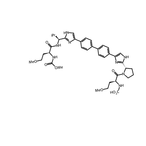 COCC[C@H](NC(=O)OC)C(=O)N[C@H](c1nc(-c2ccc(-c3ccc(-c4c[nH]c([C@@H]5CCCN5C(=O)[C@H](CCOC)NC(=O)O)n4)cc3)cc2)c[nH]1)C(C)C